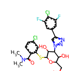 CN(C)C(=O)c1ccc(Cl)cc1SC1OC(CO)C(O)C(n2cc(-c3cc(F)c(Cl)c(F)c3)nn2)C1O